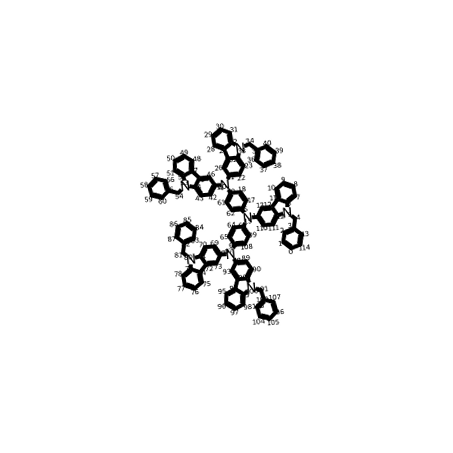 c1ccc(Cn2c3ccccc3c3cc(N(c4ccc(N(c5ccc6c(c5)c5ccccc5n6Cc5ccccc5)c5ccc6c(c5)c5ccccc5n6Cc5ccccc5)cc4)c4ccc(N(c5ccc6c(c5)c5ccccc5n6Cc5ccccc5)c5ccc6c(c5)c5ccccc5n6Cc5ccccc5)cc4)ccc32)cc1